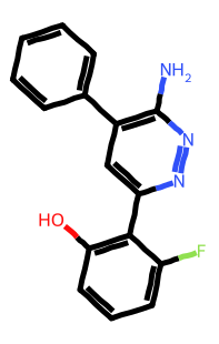 Nc1nnc(-c2c(O)cccc2F)cc1-c1ccccc1